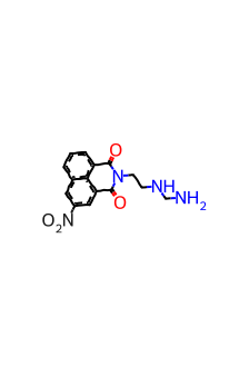 NCNCCN1C(=O)c2cccc3cc([N+](=O)[O-])cc(c23)C1=O